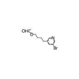 O=[C]OCCCCc1cncc(Br)c1